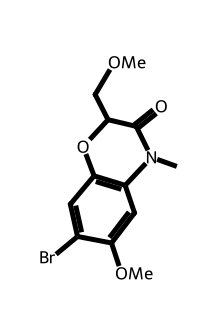 COCC1Oc2cc(Br)c(OC)cc2N(C)C1=O